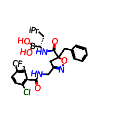 CC(C)C[C@H](NC(=O)C1(Cc2ccccc2)CC(CNC(=O)c2cc(C(F)(F)F)ccc2Cl)=NO1)B(O)O